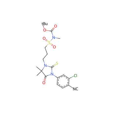 [C-]#[N+]c1ccc(N2C(=O)C(C)(C)N(CCCS(=O)(=O)N(C)C(=O)OC(C)(C)C)C2=S)cc1Cl